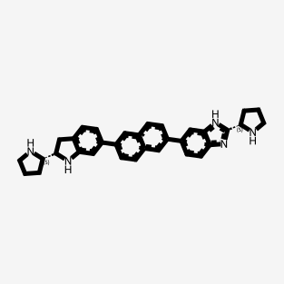 c1cc2c(cc1-c1ccc3cc(-c4ccc5nc([C@@H]6CCCN6)[nH]c5c4)ccc3c1)NC([C@@H]1CCCN1)C2